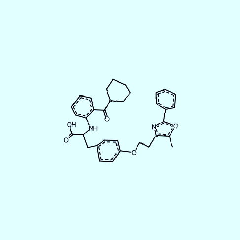 Cc1oc(-c2ccccc2)nc1CCOc1ccc(CC(Nc2ccccc2C(=O)C2CCCCC2)C(=O)O)cc1